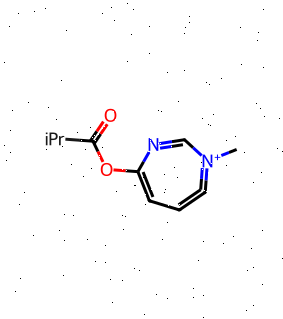 CC(C)C(=O)OC1=CC=C=[N+](C)C=N1